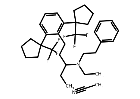 CC#N.CCC(CCc1c(C2(C(F)(F)F)CCCC2)cccc1C1(C(F)(F)F)CCCC1)N(CC)CCc1ccccc1